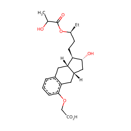 CC[C@@H](CC[C@@H]1[C@H]2Cc3cccc(OCC(=O)O)c3C[C@H]2C[C@H]1O)OC(=O)C(C)O